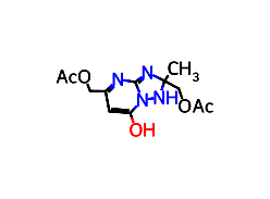 CC(=O)OCC1=NC2=NC(C)(COC(C)=O)NN2C(O)=C1